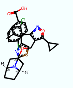 Cc1cc(C(=O)O)ccc1-c1csc(N2[C@@H]3CC[C@H]2C[C@@H](OCc2c(-c4c(Cl)cccc4Cl)noc2C2CC2)C3)n1